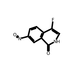 O=Nc1ccc2c(F)c[nH]c(=O)c2c1